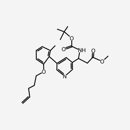 C=CCCCOc1cccc(C)c1-c1cncc(C(CC(=O)OC)NC(=O)OC(C)(C)C)c1